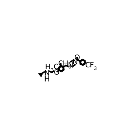 Cc1c(CCN2CCN(C(=O)c3ccc(C(F)(F)F)cc3)CC2)ccc(OCCCNCC2CC2)c1C